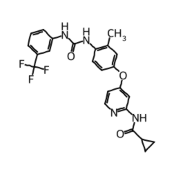 Cc1cc(Oc2ccnc(NC(=O)C3CC3)c2)ccc1NC(=O)Nc1cccc(C(F)(F)F)c1